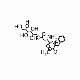 COC(=O)C(Cc1ccccc1)NC(=O)C(N)CC(=O)OC[C@@H](O)[C@@H](O)[C@H](O)[C@H](O)CO